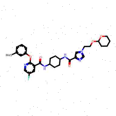 CSc1cccc(Oc2ncc(F)cc2C(=O)NC2CCC(NC(=O)c3cn(CCOC4CCCCO4)cn3)CC2)c1